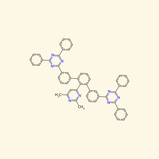 Cc1cc(-c2c(-c3cccc(-c4nc(-c5ccccc5)nc(-c5ccccc5)n4)c3)cccc2-c2cccc(-c3nc(-c4ccccc4)nc(-c4ccccc4)n3)c2)nc(C)n1